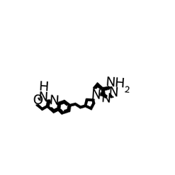 Nc1ncnc2c1ccn2C1CCC(CCc2ccc3cc4c(nc3c2)NOCC4)C1